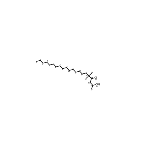 CCCCCCCCCCCCCCCCC(C)(C)[C](Cl)CC(C)O